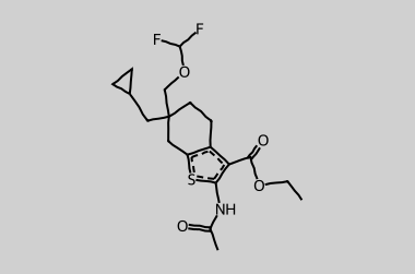 CCOC(=O)c1c(NC(C)=O)sc2c1CCC(COC(F)F)(CC1CC1)C2